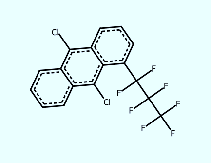 FC(F)(F)C(F)(F)C(F)(F)c1cccc2c(Cl)c3ccccc3c(Cl)c12